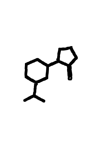 CC(C)N1CCCC(N2CCCC2=O)C1